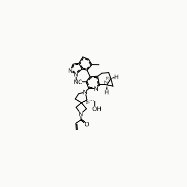 C=CC(=O)N1CC2(CCN(c3nc4c(c(-c5c(C)ccc6cnn(C)c56)c3C#N)CC[C@@H]3C[C@H]43)[C@@H]2CO)C1